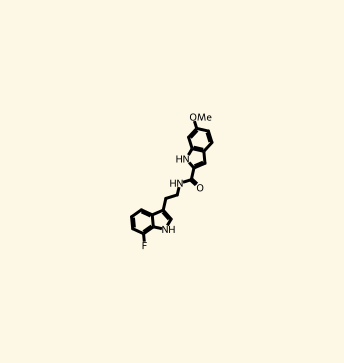 COc1ccc2cc(C(=O)NCCc3c[nH]c4c(F)cccc34)[nH]c2c1